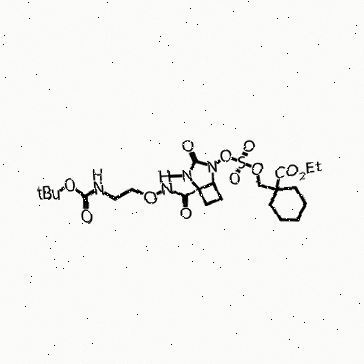 CCOC(=O)C1(COS(=O)(=O)ON2C(=O)N(C)[C@@]3(C(=O)NOCCNC(=O)OC(C)(C)C)CCC23)CCCCC1